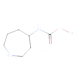 CC(C)(C)OC(=O)NC1CCCNC[C@H]1O